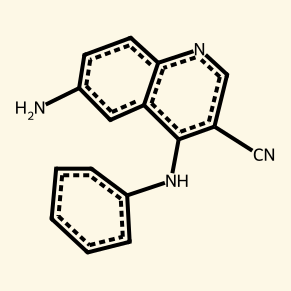 N#Cc1cnc2ccc(N)cc2c1Nc1ccccc1